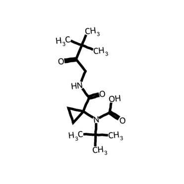 CC(C)(C)C(=O)CNC(=O)C1(N(C(=O)O)C(C)(C)C)CC1